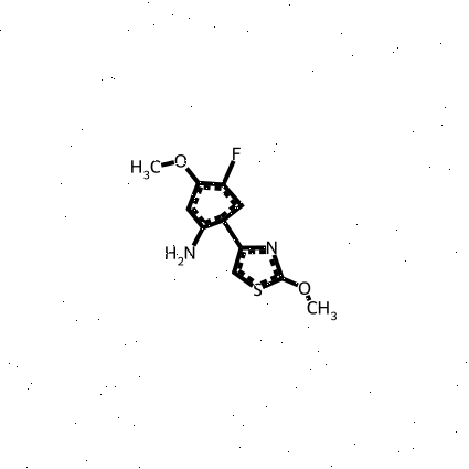 COc1nc(-c2cc(F)c(OC)cc2N)cs1